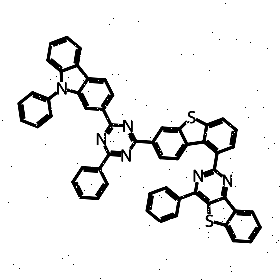 c1ccc(-c2nc(-c3ccc4c(c3)sc3cccc(-c5nc(-c6ccccc6)c6sc7ccccc7c6n5)c34)nc(-c3ccc4c5ccccc5n(-c5ccccc5)c4c3)n2)cc1